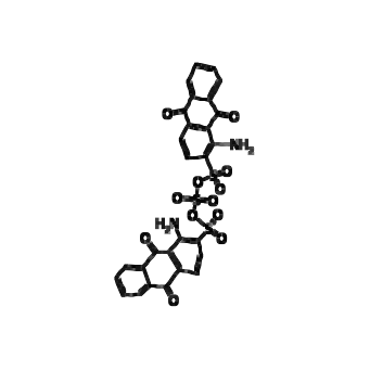 Nc1c(S(=O)(=O)OS(=O)(=O)OS(=O)(=O)c2ccc3c(c2N)C(=O)c2ccccc2C3=O)ccc2c1C(=O)c1ccccc1C2=O